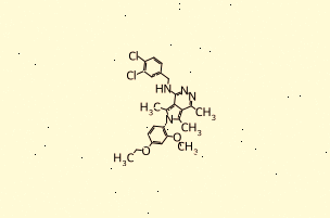 CCOc1ccc(-n2c(C)c3c(C)nnc(NCc4ccc(Cl)c(Cl)c4)c3c2C)c(OC)c1